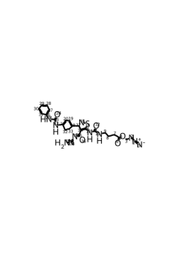 [N-]=[N+]=NCOC(=O)CCCNC(=O)Nc1snc(C2=CC=C(NC(=O)Nc3ccccc3)CC2)c1C(=O)N=NN